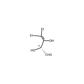 CCC(CC)=C(O)[C@@H](O)C=O